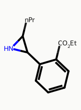 CCCC1NC1c1ccccc1C(=O)OCC